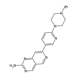 CC(C)N1CCN(c2ccc(-c3cc4nc(N)ncc4cn3)cn2)CC1